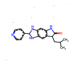 CC(C)CC1C(=O)Nc2cc3c(cc21)NC(c1ccncc1)N3